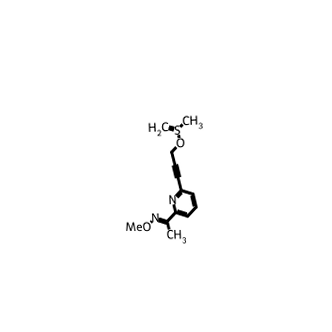 C=S(C)OCC#Cc1cccc(/C(C)=N/OC)n1